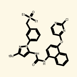 CCP(=O)(CC)Cc1cccc(-n2nc(C(C)(C)C)cc2NC(=O)Nc2ccc(Oc3ccnc(Cl)n3)c3ccccc23)c1